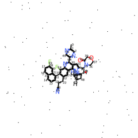 Cc1cnc(-c2nc3c(F)c(-c4cccc5ccc(F)cc45)c(CCC#N)cc3c3c2cc([C@@H](C)N2CCOCC2=O)n3[C@H]2[C@H]3CN[C@@H]2C3)cn1